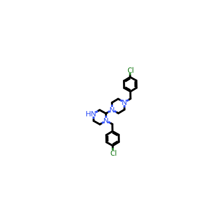 Clc1ccc(CN2CCN(C3CNCCN3Cc3ccc(Cl)cc3)CC2)cc1